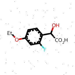 CCOc1ccc(C(O)C(=O)O)c(F)c1